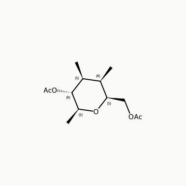 CC(=O)OC[C@H]1O[C@@H](C)[C@H](OC(C)=O)[C@@H](C)[C@H]1C